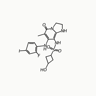 Cc1c(Nc2ccc(I)cc2F)c(NS(=O)(=O)C2CC(O)C2)c2n(c1=O)CCN2